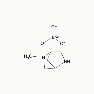 CN1CC2CC1CN2.[O-][Br+2]([O-])O